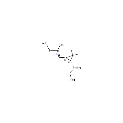 CCCS/C(C#N)=C/[C@@H]1[C@@H](C(=O)CO)C1(C)C